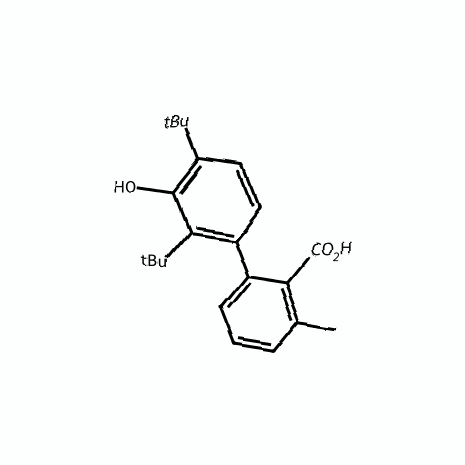 Cc1cccc(-c2ccc(C(C)(C)C)c(O)c2C(C)(C)C)c1C(=O)O